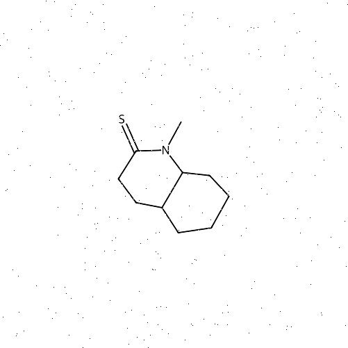 CN1C(=S)CCC2CCCCC21